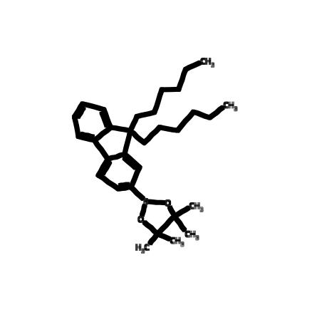 CCCCCCC1(CCCCCC)c2ccccc2-c2ccc(B3OC(C)(C)C(C)(C)O3)cc21